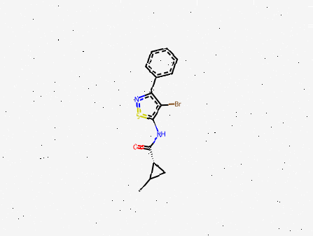 CC1C[C@H]1C(=O)Nc1snc(-c2ccccc2)c1Br